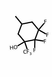 CC1CC(F)(F)C(F)(F)C(O)(C(F)(F)F)C1